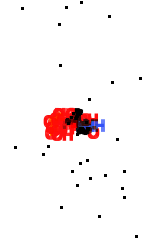 C#C[C@@]1(O)C(O)C([C@@H](C)OP(=O)(O)OP(=O)(O)OP(=O)(O)O)O[C@H]1n1c(C)cc(=O)[nH]c1=O